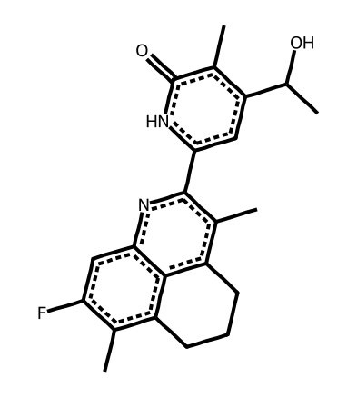 Cc1c(F)cc2nc(-c3cc(C(C)O)c(C)c(=O)[nH]3)c(C)c3c2c1CCC3